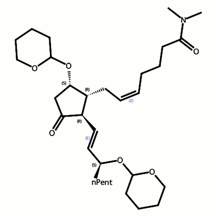 CCCCC[C@@H](/C=C/[C@H]1C(=O)C[C@H](OC2CCCCO2)[C@@H]1C/C=C\CCCC(=O)N(C)C)OC1CCCCO1